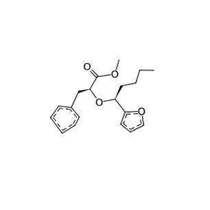 CCCC[C@H](O[C@@H](Cc1ccccc1)C(=O)OC)c1ccco1